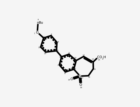 CCCCOc1ccc(-c2ccc3c(c2)C=C(C(=O)O)CCS3(=O)=O)cc1